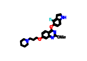 COc1nc(Oc2ccc3[nH]ccc3c2F)c2ccc(OCCCN3CCCCC3)cc2n1